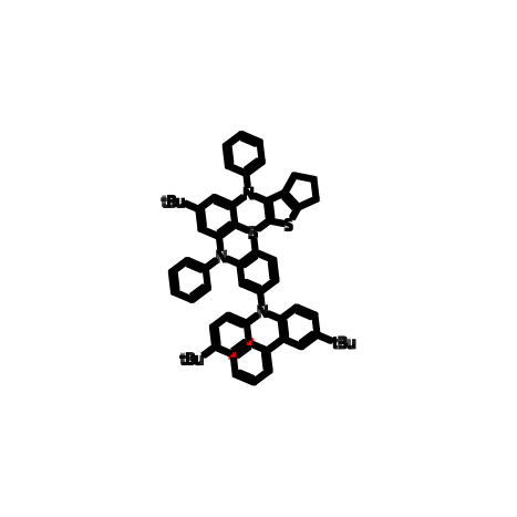 CC(C)(C)c1ccc(N(c2ccc3c(c2)N(c2ccccc2)c2cc(C(C)(C)C)cc4c2B3c2sc3c(c2N4c2ccccc2)CCC3)c2ccc(C(C)(C)C)cc2-c2ccccc2)cc1